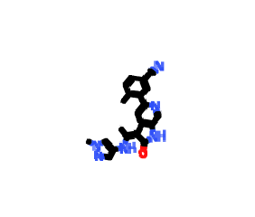 C/C(Nc1cnn(C)c1)=C1/C(=O)Nc2cnc(-c3cc(C#N)ccc3C)cc21